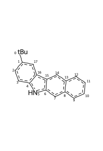 CC(C)(C)c1ccc2[nH]c3cc4ccccc4cc3c2c1